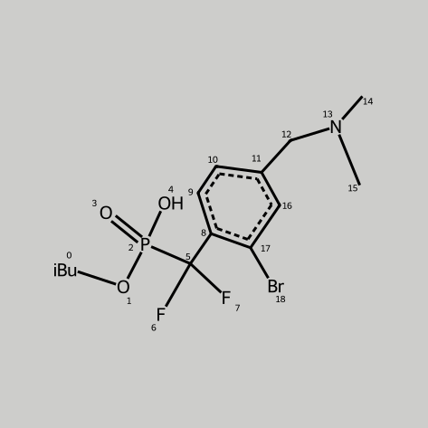 CCC(C)OP(=O)(O)C(F)(F)c1ccc(CN(C)C)cc1Br